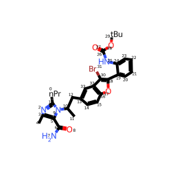 CCCc1nc(C)c(C(N)=O)n1C(C)Cc1ccc2oc(-c3ccccc3NC(=O)OC(C)(C)C)c(Br)c2c1